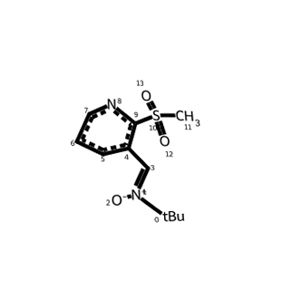 CC(C)(C)[N+]([O-])=Cc1cccnc1S(C)(=O)=O